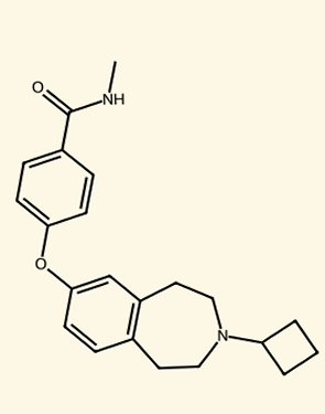 CNC(=O)c1ccc(Oc2ccc3c(c2)CCN(C2CCC2)CC3)cc1